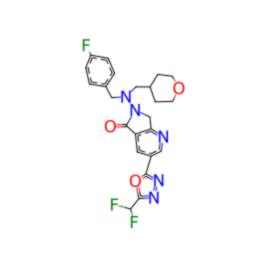 O=C1c2cc(-c3nnc(C(F)F)o3)cnc2CN1N(Cc1ccc(F)cc1)CC1CCOCC1